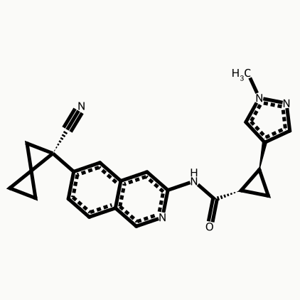 Cn1cc([C@H]2C[C@@H]2C(=O)Nc2cc3cc([C@]4(C#N)CC45CC5)ccc3cn2)cn1